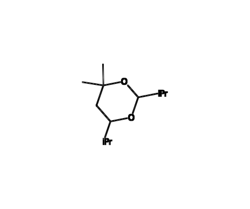 CC(C)C1CC(C)(C)OC(C(C)C)O1